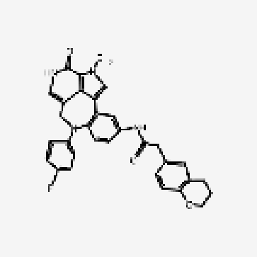 Cn1cc2c3c(c[nH]c(=O)c31)CN(c1ccc(F)cc1)c1ccc(NC(=O)Cc3ccc4c(c3)CCCO4)cc1-2